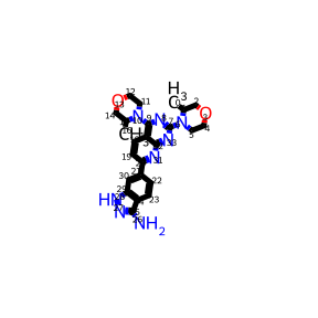 CC1COCCN1c1nc(N2CCOCC2C)c2ccc(-c3ccc4c(N)n[nH]c4c3)nc2n1